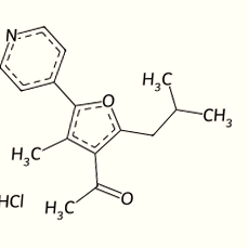 CC(=O)c1c(CC(C)C)oc(-c2ccncc2)c1C.Cl